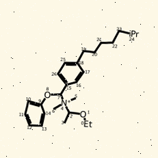 CCOC(C)[N+](C)(C)C(Oc1ccccc1)c1ccc(CCCCCC(C)C)cc1